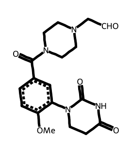 COc1ccc(C(=O)N2CCN(CC=O)CC2)cc1N1CCC(=O)NC1=O